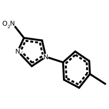 Cc1ccc(-n2cnc([N+](=O)[O-])c2)cc1